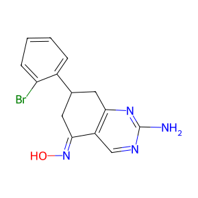 Nc1ncc2c(n1)CC(c1ccccc1Br)C/C2=N\O